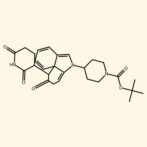 CC(C)(C)OC(=O)N1CCC(N2C=C3C=CC=CC34C2=CCC(=O)C4C2CCC(=O)NC2=O)CC1